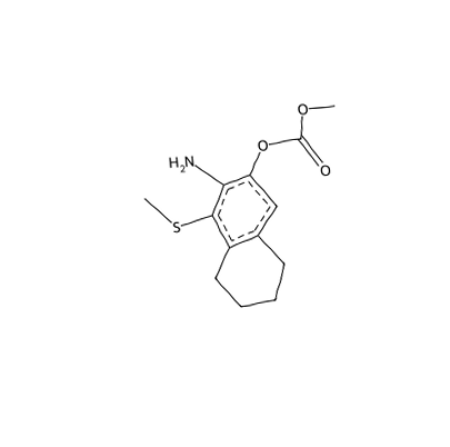 COC(=O)Oc1cc2c(c(SC)c1N)CCCC2